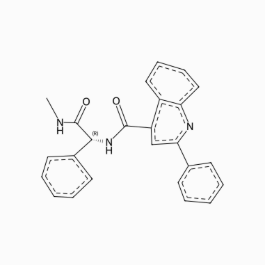 CNC(=O)[C@H](NC(=O)c1cc(-c2ccccc2)nc2ccccc12)c1ccccc1